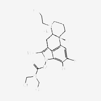 CCCN1CCC[C@@H]2c3cc(Br)c(Br)c4c3c(c(C)n4NC(=O)N(CC)CC)C[C@H]21